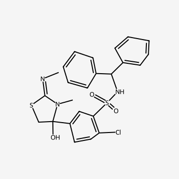 CN=C1SCC(O)(c2ccc(Cl)c(S(=O)(=O)NC(c3ccccc3)c3ccccc3)c2)N1C